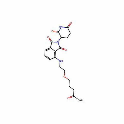 CNC(=O)CCCOCCNc1cccc2c1C(=O)N(C1CCC(=O)NC1=O)C2=O